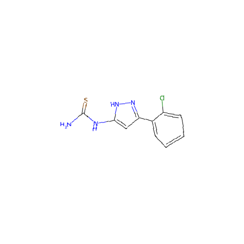 NC(=S)Nc1cc(-c2ccccc2Cl)n[nH]1